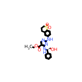 CCOC(=O)c1cnc(Nc2ccc3c(c2)CCCS3(=O)=O)nc1N[C@H](CO)c1ccccc1